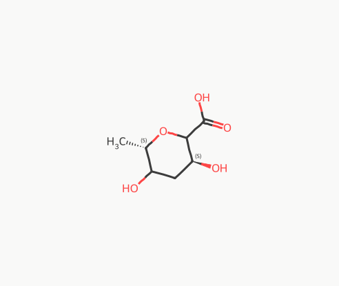 C[C@@H]1OC(C(=O)O)[C@@H](O)CC1O